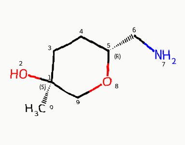 C[C@]1(O)CC[C@H](CN)OC1